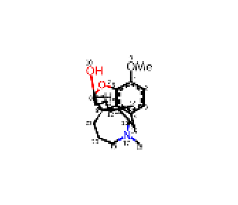 COc1ccc2c3c1O[C@H]1C(O)CCC4(C)C(C2)N(C)CCC[C@]314